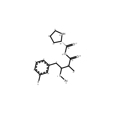 CC(=O)SC(Cc1cccc(F)c1)C(C)C(=O)OC(=O)[C@@H]1CCCN1